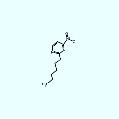 CCCCCSc1nccc([N+](=O)[O-])n1